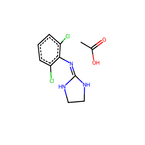 CC(=O)O.Clc1cccc(Cl)c1N=C1NCCN1